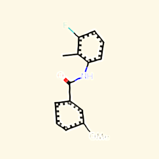 COc1cccc(C(=O)Nc2cccc(F)c2C)c1